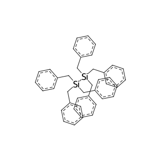 c1ccc(C[Si](Cc2ccccc2)(Cc2ccccc2)[Si](Cc2ccccc2)(Cc2ccccc2)Cc2ccccc2)cc1